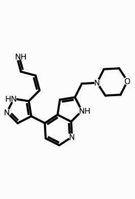 N=C/C=C\c1[nH]ncc1-c1ccnc2[nH]c(CN3CCOCC3)cc12